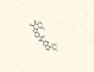 CC1NC(=O)c2cc3ccc(C(=O)Nc4cnc5c(cnn5C(C)C)c4)cc3n2C1C